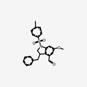 COc1cc(C=O)c2c(c1)N(S(=O)(=O)c1ccc(C)cc1)CC2Cc1ccccc1